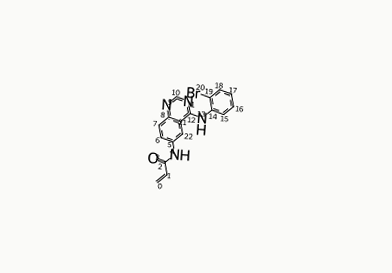 C=CC(=O)Nc1ccc2ncnc(Nc3ccccc3Br)c2c1